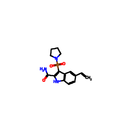 C=Cc1ccc2[nH]c(C(N)=O)c(S(=O)(=O)N3CCCC3)c2c1